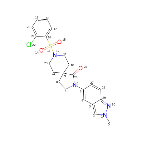 Cn1cc2cc(N3CCC4(CCN(S(=O)(=O)c5ccccc5Cl)CC4)C3=O)ccc2n1